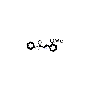 COc1ccccc1/C=C/C(=O)Oc1ccccc1